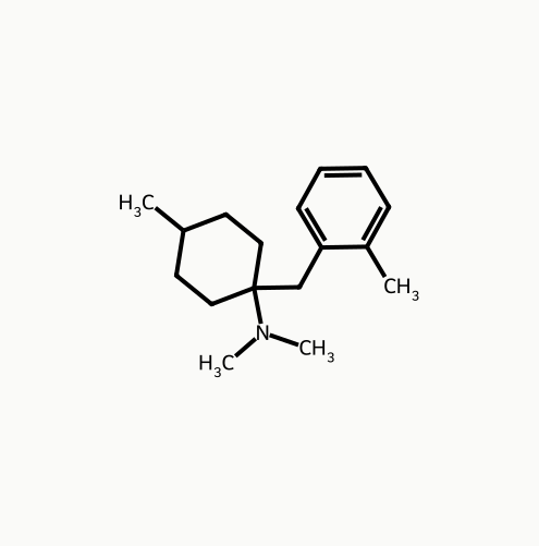 Cc1ccccc1CC1(N(C)C)CCC(C)CC1